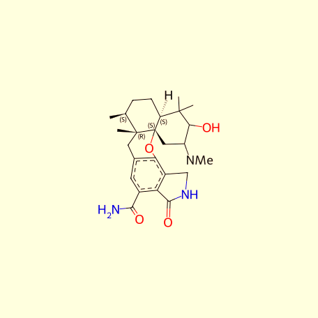 CNC1C[C@@]23Oc4c(cc(C(N)=O)c5c4CNC5=O)C[C@]2(C)[C@@H](C)CC[C@H]3C(C)(C)C1O